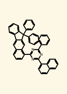 c1ccc(-c2nc(-c3cccc4ccccc34)nc(-c3cccc4cc5c(cc34)C(c3ccccc3)(c3ccccc3)c3ccccc3-5)n2)cc1